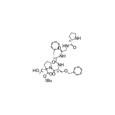 CC(C)(C)OC(=O)[C@@]1(C(=O)O)CCCN1C(=O)[C@H](COCc1ccccc1)NC(=O)[C@H](Cc1ccccc1)NC(=O)CNC(=O)[C@@H]1CCCN1